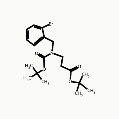 CC(C)(C)OC(=O)CCN(Cc1ccccc1Br)C(=O)OC(C)(C)C